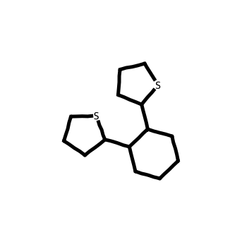 C1CCC(C2CCCS2)[C](C2CCCS2)C1